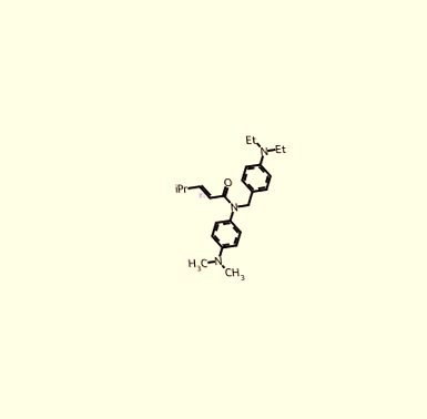 CCN(CC)c1ccc(CN(C(=O)/C=C/C(C)C)c2ccc(N(C)C)cc2)cc1